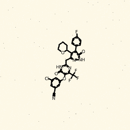 N#Cc1cc(Cl)cc(Oc2c(C(F)(F)F)nc(Cc3n[nH]c(=O)c(-c4ccc(F)cc4)c3C3CCCCO3)[nH]c2=O)c1